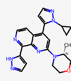 C[C@@H]1COCCN1c1cc(-c2ccnn2C2CC2)c2ccnc(-c3ccn[nH]3)c2n1